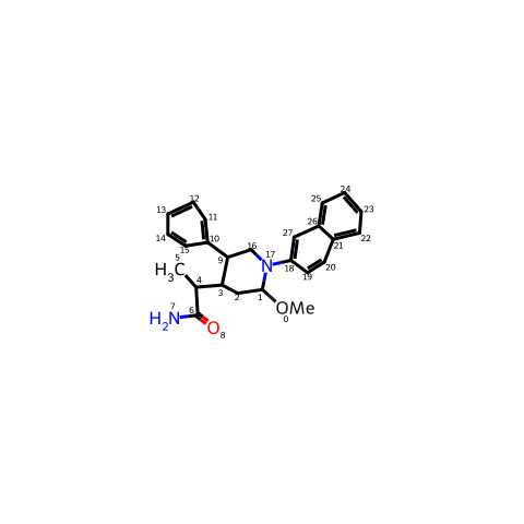 COC1CC(C(C)C(N)=O)C(c2ccccc2)CN1c1ccc2ccccc2c1